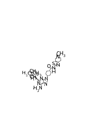 CN1CCc2nc(NC(=O)C3CCC(n4cnc5c(N)nc(C#C[SH](C)(C)(C)C)nc54)CC3)sc2C1